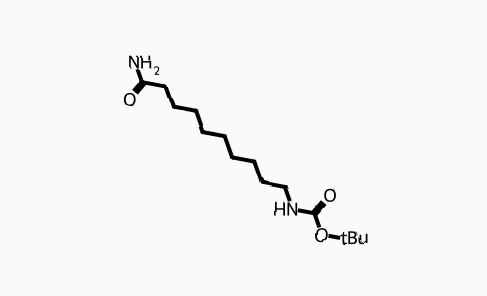 CC(C)(C)OC(=O)NCCCCCCCCCC(N)=O